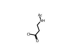 CC(=O)NCCC(=O)Cl